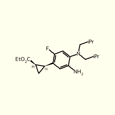 CCOC(=O)[C@@H]1C[C@@H]1c1cc(N)c(N(CC(C)C)CC(C)C)cc1F